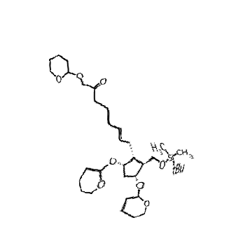 CC(C)(C)[Si](C)(C)OC[C@@H]1[C@@H](CC=CCCCC(=O)COC2CCCCO2)[C@@H](OC2CCCCO2)C[C@H]1OC1CCCCO1